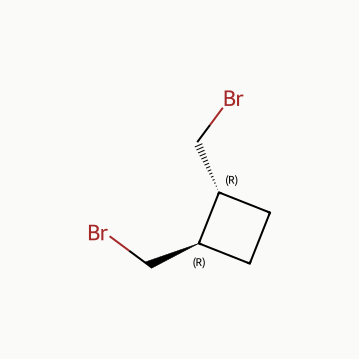 BrC[C@@H]1CC[C@H]1CBr